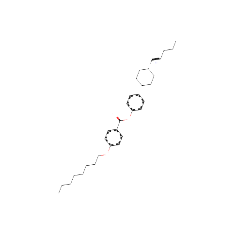 CCC/C=C/[C@H]1CC[C@H](c2ccc(OC(=O)c3ccc(OCCCCCCCC)cc3)cc2)CC1